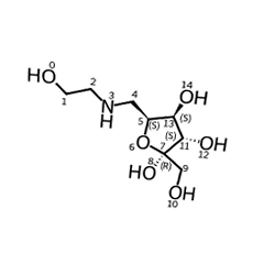 OCCNC[C@@H]1O[C@](O)(CO)[C@@H](O)[C@@H]1O